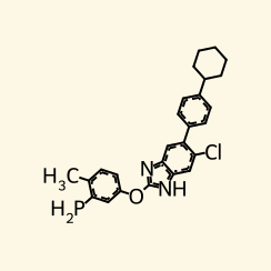 Cc1ccc(Oc2nc3cc(-c4ccc(C5CCCCC5)cc4)c(Cl)cc3[nH]2)cc1P